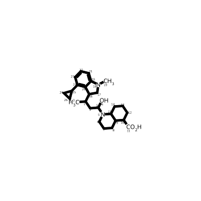 CC(CC(O)N1CCCC2C(C(=O)O)CCCC21)C1CN(C)c2cccc(C3CC3)c21